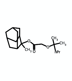 CCCC(C)(C)OCC(=O)OC1(C)C2CC3CC(C2)CC1C3